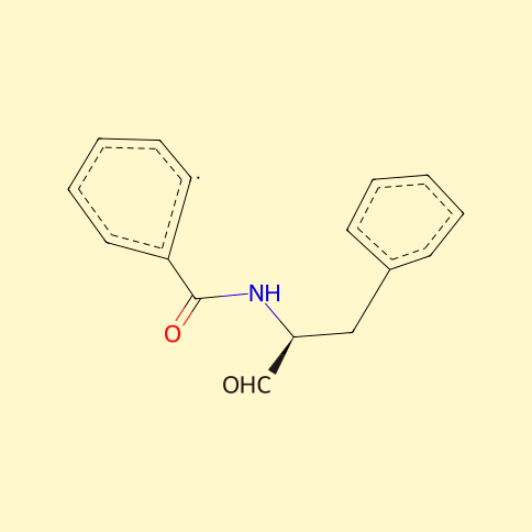 O=C[C@H](Cc1ccccc1)NC(=O)c1[c]cccc1